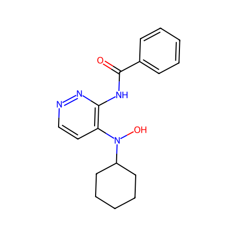 O=C(Nc1nnccc1N(O)C1CCCCC1)c1ccccc1